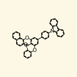 O=P12c3ccccc3Oc3cc(-c4ccc(-n5c6ccccc6c6ccccc65)cc4)cc(c31)Oc1c2ccc2ccccc12